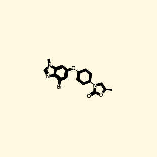 C[C@@H]1CN([C@H]2CC[C@@H](Oc3cc(Br)c4ncn(C)c4c3)CC2)C(=O)O1